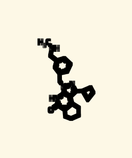 CNCc1cccc(Cn2nc(C3CCC3)c3c4c(c(=O)[nH]c32)CCCC4)c1